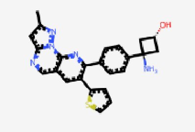 Cc1cc2ncc3cc(-c4cccs4)c(-c4ccc([C@]5(N)C[C@H](O)C5)cc4)nc3n2n1